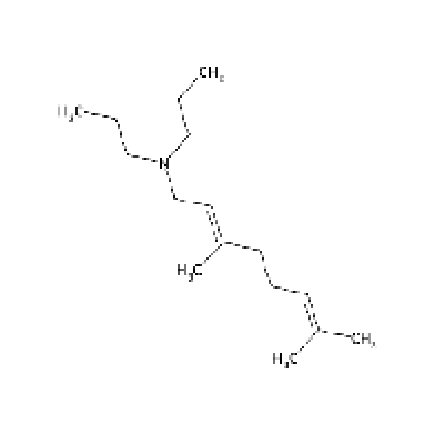 CCCN(C/C=C(\C)CCC=C(C)C)CCC